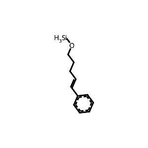 [SiH3]OCCCC=Cc1ccccc1